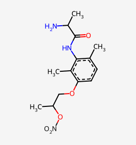 Cc1ccc(OCC(C)O[N+](=O)[O-])c(C)c1NC(=O)C(C)N